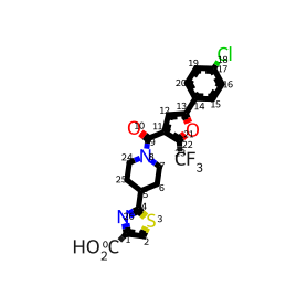 O=C(O)c1csc(C2CCN(C(=O)c3cc(-c4ccc(Cl)cc4)oc3C(F)(F)F)CC2)n1